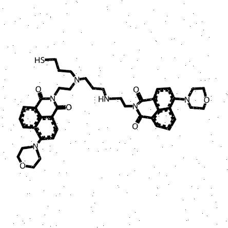 O=C1c2cccc3c(N4CCOCC4)ccc(c23)C(=O)N1CCNCCCN(CCCS)CCN1C(=O)c2cccc3c(N4CCOCC4)ccc(c23)C1=O